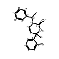 Cc1ccccc1C1(C)CCN(C(C)c2ccccc2)C(=O)O1